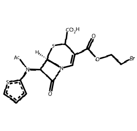 CC(=O)N(c1cccs1)C1C(=O)N2C=C(C(=O)OCCBr)C(C(=O)O)S[C@H]12